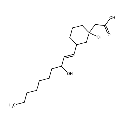 CCCCCCCC(O)/C=C/C1CCCC(O)(CC(=O)O)C1